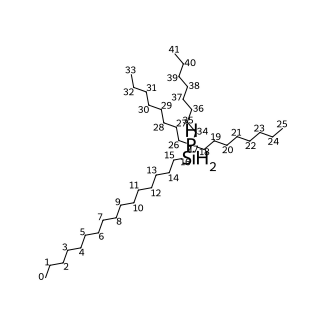 CCCCCCCCCCCCCCCC[SiH2][PH](CCCCCCCC)(CCCCCCCC)CCCCCCCC